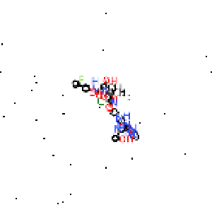 CC(C)[C@@H](C(=O)N1C[C@H](O)C[C@H]1C(=O)NOc1ccc(-c2ccccc2F)cc1)c1onc(O[C@H]2CC[C@H](N3CCC(c4cnc(N5C6CCC5CN(c5c[nH]c7nnc(-c8ccccc8O)cc57)C6)nc4)CC3)CC2)c1Cl